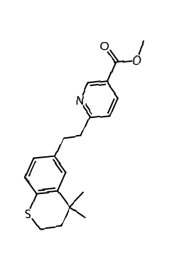 COC(=O)c1ccc(CCc2ccc3c(c2)C(C)(C)CCS3)nc1